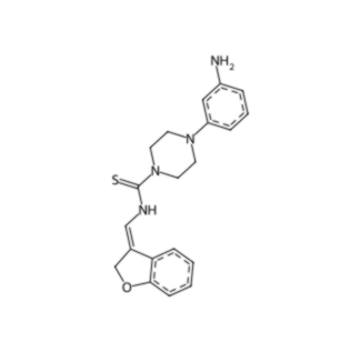 Nc1cccc(N2CCN(C(=S)N/C=C3/COc4ccccc43)CC2)c1